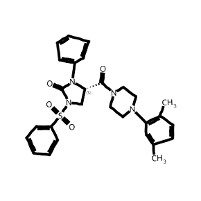 Cc1ccc(C)c(N2CCN(C(=O)[C@@H]3CN(S(=O)(=O)c4ccccc4)C(=O)N3c3ccccc3)CC2)c1